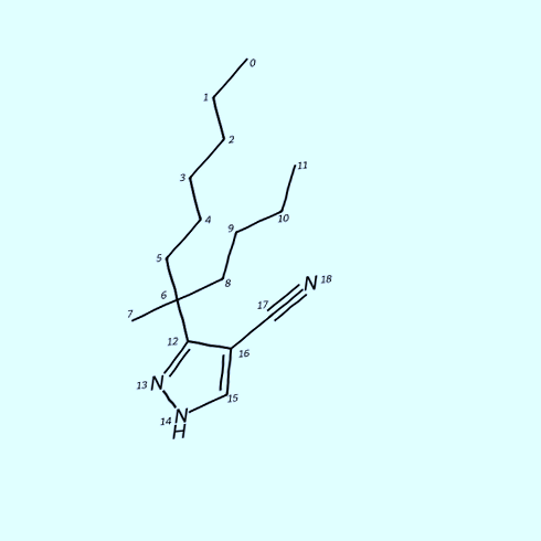 CCCCCCC(C)(CCCC)c1n[nH]cc1C#N